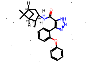 C[C@H]1[C@H]2C[C@@H](C[C@H]1NC(=O)c1[nH]nnc1-c1ccccc1Oc1ccccc1)C2(C)C